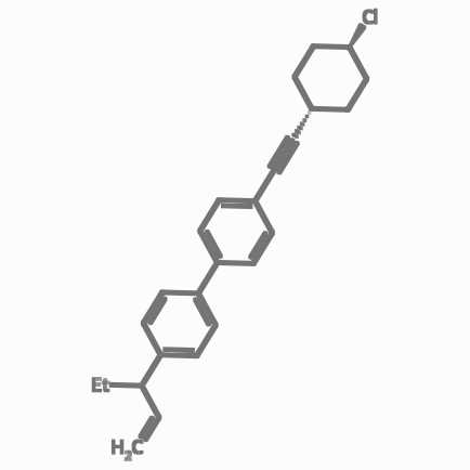 C=CC(CC)c1ccc(-c2ccc(C#C[C@H]3CC[C@H](Cl)CC3)cc2)cc1